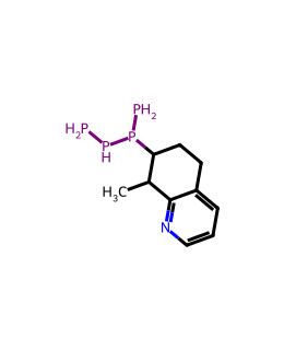 CC1c2ncccc2CCC1P(P)PP